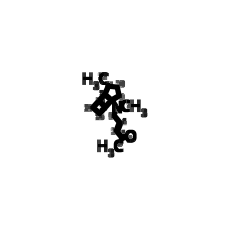 CC(=O)/C=C/CN(C)C12CCC(C)C1C1CCC12